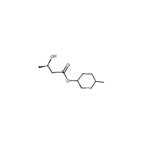 CC1CCC(OC(=O)C[C@@H](C)O)CC1